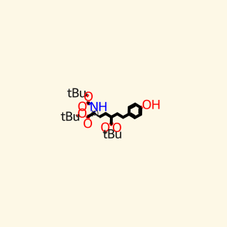 CC(C)(C)OC(=O)N[C@@H](CCC(CCc1ccc(O)cc1)C(=O)OC(C)(C)C)C(=O)OC(C)(C)C